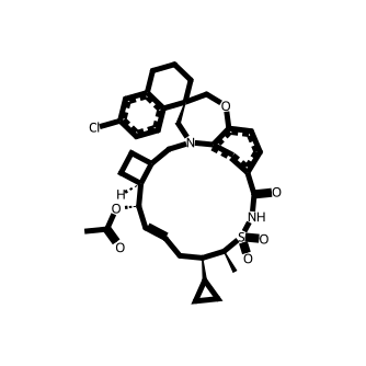 CC(=O)O[C@H]1/C=C/C[C@H](C2CC2)[C@H](C)S(=O)(=O)NC(=O)c2ccc3c(c2)N(CC2CC[C@@H]21)C[C@@]1(CCCc2cc(Cl)ccc21)CO3